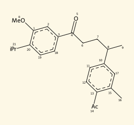 COc1cc(C(=O)CCC(C)c2ccc(C(C)=O)c(C)c2)ccc1C(C)C